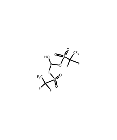 O=S(=O)(OB(O)OS(=O)(=O)C(F)(F)C(F)(F)F)C(F)(F)C(F)(F)F